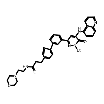 CCn1nc(-c2cccc(-c3ccc(CCC(=O)NCCN4CCOCC4)cc3)c2)cc(Nc2cccc3ncccc23)c1=O